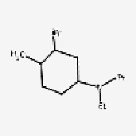 CCN(C(C)C)C1CCC(C)C(C(C)C)C1